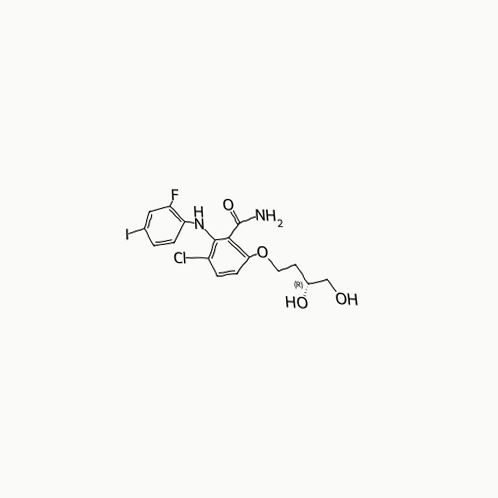 NC(=O)c1c(OCC[C@@H](O)CO)ccc(Cl)c1Nc1ccc(I)cc1F